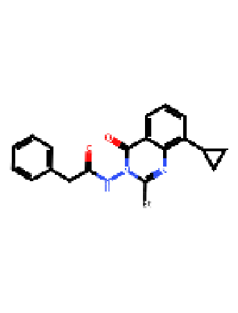 CCc1nc2c(C3CC3)cccc2c(=O)n1NC(=O)Cc1ccccc1